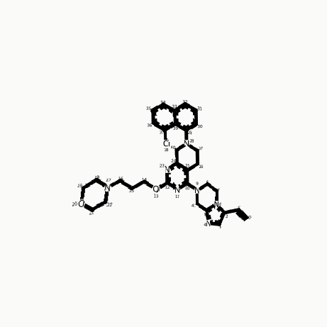 C=Cc1cnc2n1CCN(c1nc(OCCCN3CCOCC3)nc3c1CCN(c1cccc4cccc(Cl)c14)C3)C2